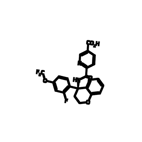 O=C(O)c1ccc(C(=O)N[C@]2(c3ccc(OC(F)(F)F)cc3F)CCOc3cccnc32)nc1